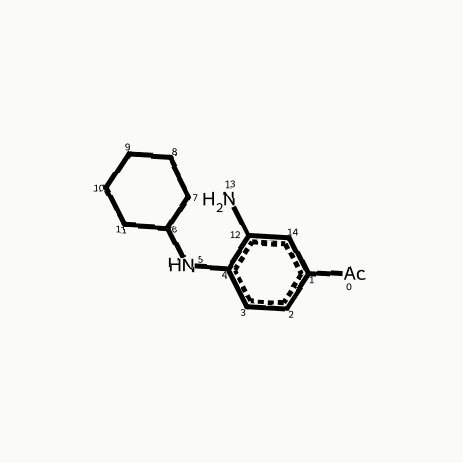 CC(=O)c1ccc(NC2CCCCC2)c(N)c1